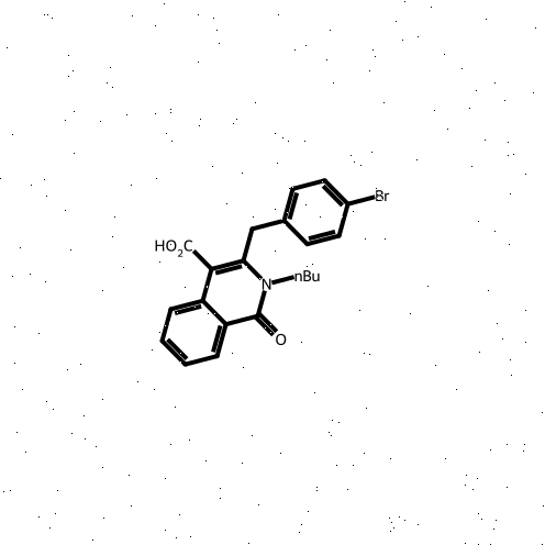 CCCCn1c(Cc2ccc(Br)cc2)c(C(=O)O)c2ccccc2c1=O